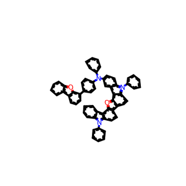 c1ccc(N(c2ccc(-c3cccc4c3oc3ccccc34)cc2)c2ccc3c(c2)c2c4oc5c(ccc6c5c5ccccc5n6-c5ccccc5)c4ccc2n3-c2ccccc2)cc1